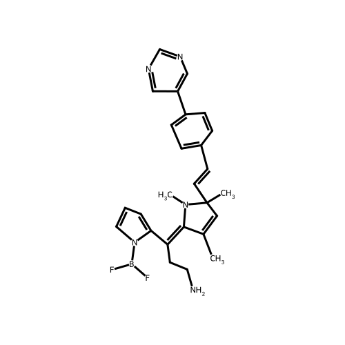 CC1=CC(C)(/C=C/c2ccc(-c3cncnc3)cc2)N(C)/C1=C(/CCN)c1cccn1B(F)F